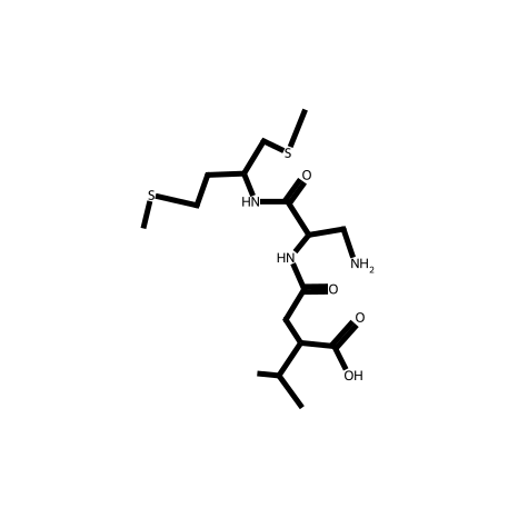 CSCCC(CSC)NC(=O)C(CN)NC(=O)CC(C(=O)O)C(C)C